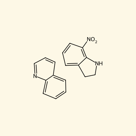 O=[N+]([O-])c1cccc2c1NCC2.c1ccc2ncccc2c1